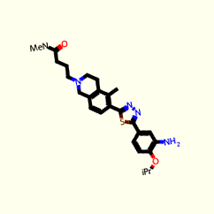 CNC(=O)CCCN1CCc2c(ccc(-c3nnc(-c4ccc(OC(C)C)c(N)c4)s3)c2C)C1